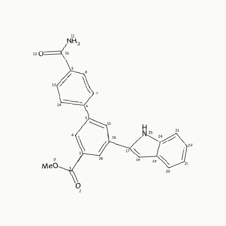 COC(=O)c1cc(-c2ccc(C(N)=O)cc2)cc(-c2cc3ccccc3[nH]2)c1